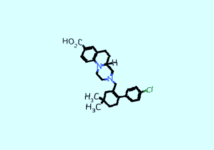 CC1(C)CCC(c2ccc(Cl)cc2)=C(CN2CCN3c4ccc(C(=O)O)cc4CC[C@@H]3C2)C1